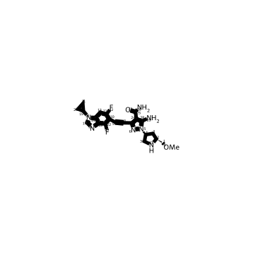 COC[C@H]1C[C@H](n2nc(C#Cc3c(F)cc4c(ncn4C4CC4)c3F)c(C(N)=O)c2N)CN1